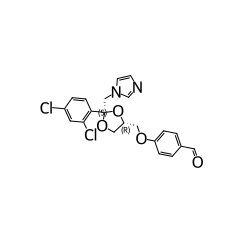 O=Cc1ccc(OC[C@@H]2CO[C@@](Cn3ccnc3)(c3ccc(Cl)cc3Cl)O2)cc1